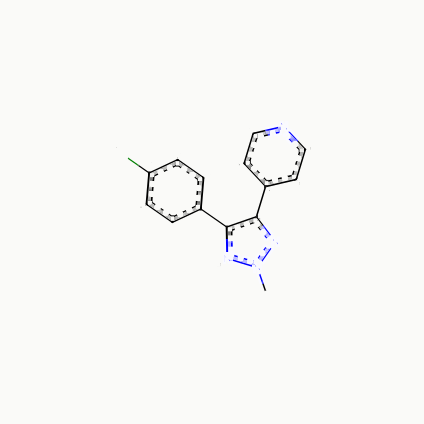 Cn1nc(-c2ccncc2)c(-c2ccc(F)cc2)n1